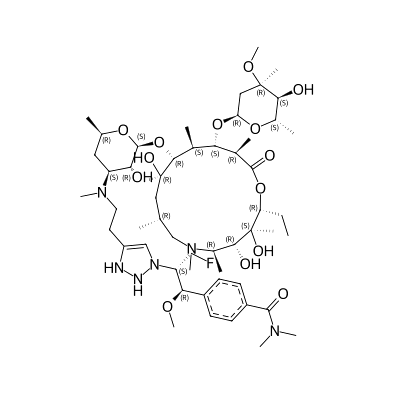 CC[C@H]1OC(=O)[C@H](C)[C@@H](O[C@H]2C[C@@](C)(OC)[C@@H](O)[C@H](C)O2)[C@H](C)[C@@H](O[C@@H]2O[C@H](C)C[C@H](N(C)CCC3=CN([C@H](CF)[C@H](OC)c4ccc(C(=O)N(C)C)cc4)NN3)[C@H]2O)[C@](C)(O)C[C@@H](C)CN(C)[C@H](C)[C@@H](O)[C@]1(C)O